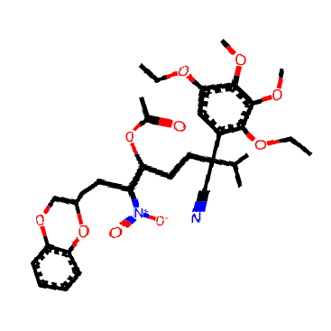 CCOc1cc(C(C#N)(CCC(OC(C)=O)C(CC2COc3ccccc3O2)[N+](=O)[O-])C(C)C)c(OCC)c(OC)c1OC